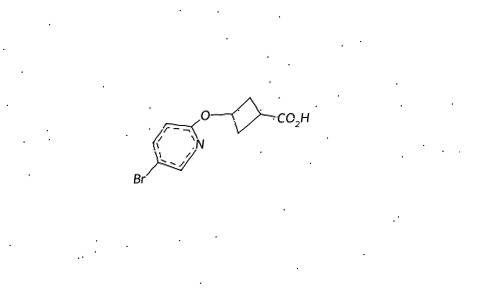 O=C(O)C1CC(Oc2ccc(Br)cn2)C1